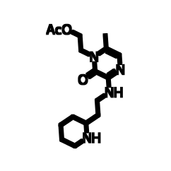 CC(=O)OCCn1c(C)cnc(NCCC2CCCCN2)c1=O